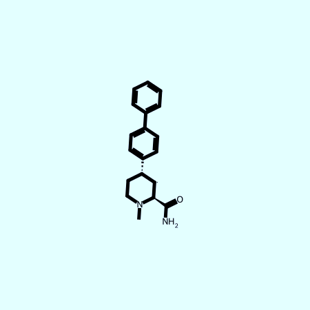 CN1CC[C@H](c2ccc(-c3ccccc3)cc2)[CH][C@H]1C(N)=O